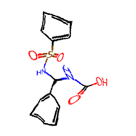 O=C(O)NC(NS(=O)(=O)c1ccccc1)c1ccccc1